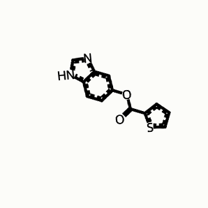 O=C(Oc1ccc2[nH]cnc2c1)c1cccs1